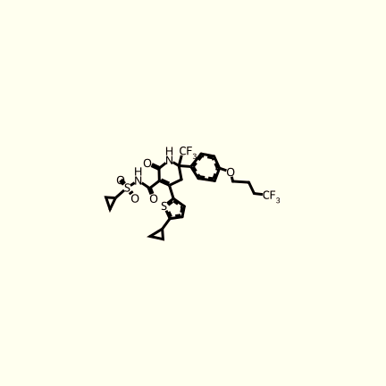 O=C1NC(c2ccc(OCCCC(F)(F)F)cc2)(C(F)(F)F)CC(c2ccc(C3CC3)s2)=C1C(=O)NS(=O)(=O)C1CC1